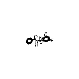 O=C(Nc1nc2c(F)cc(F)cc2s1)c1ccccc1